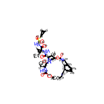 CC[C@@H]1C[C@]1(NC(=O)[C@@H]1C[C@@H]2CN1C(=O)[C@H](CC(F)(F)F)NC(=O)OCCC/C=C/c1cccc3c1CN(C3)C(=O)O2)C(=O)NS(=O)(=O)C1CC1